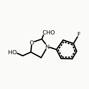 O=CC1OC(CO)CN1c1cccc(F)c1